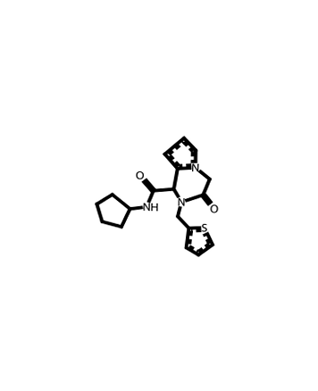 O=C(NC1CCCC1)C1c2cccn2CC(=O)N1Cc1cccs1